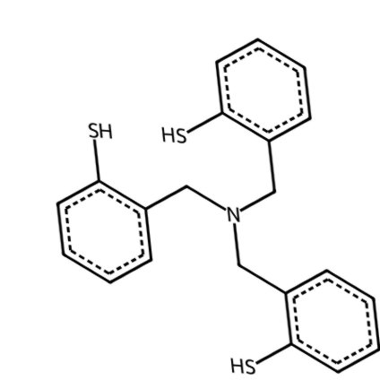 Sc1ccccc1CN(Cc1ccccc1S)Cc1ccccc1S